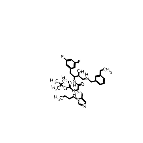 CCCCn1cncc1C[C@H](NC(=O)OC(C)(C)C)C(=O)NC(Cc1cc(F)cc(F)c1)C(O)CNCc1cccc(CC)c1